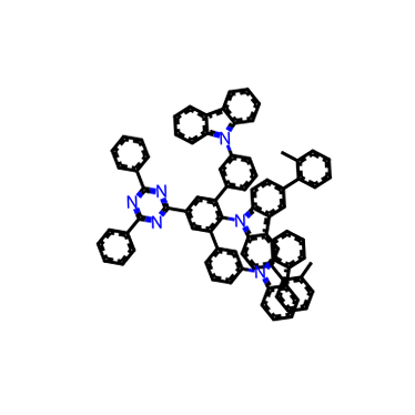 Cc1ccccc1-c1ccc2c(c1)c1cc(-c3ccccc3C)ccc1n2-c1c(-c2cccc(-n3c4ccccc4c4ccccc43)c2)cc(-c2nc(-c3ccccc3)nc(-c3ccccc3)n2)cc1-c1cccc(-n2c3ccccc3c3ccccc32)c1